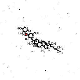 CC(C)=CCC[C@](C)(O)[C@H]1C(=O)C[C@]2(C)[C@@H]1CC[C@@H]1[C@@]3(CO)CCC(O[C@@H]4O[C@H](CO)[C@@H](OC5OC[C@H](O)[C@H](O)[C@H]5O)[C@H](O)[C@H]4O)C(C)(C)[C@@H]3CC[C@]12C